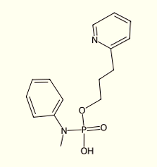 CN(c1ccccc1)P(=O)(O)OCCCc1ccccn1